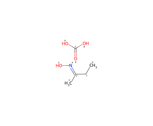 CCC(C)=NO.O=C(O)O